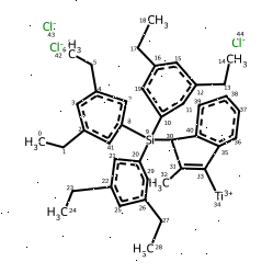 CCc1cc(CC)cc([Si](c2cc(CC)cc(CC)c2)(c2cc(CC)cc(CC)c2)C2C(C)=[C]([Ti+3])c3ccccc32)c1.[Cl-].[Cl-].[Cl-]